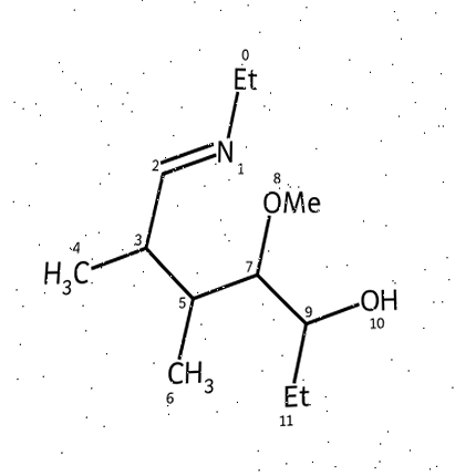 CCN=CC(C)C(C)C(OC)C(O)CC